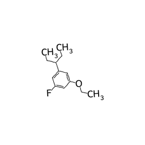 CCOc1cc(F)cc(C(CC)CC)c1